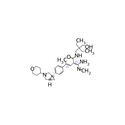 C=N/C(N)=C(\C=C(/C)c1ccc([C@]23C[C@H]2CN(C2CCOCC2)C3)cc1)C(=O)NCC(CC)(CC)CO